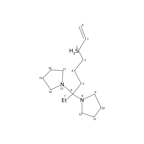 C=C[SiH2]CCCC(CC)(N1CCCC1)N1CCCC1